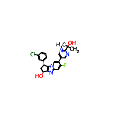 CC(C)(O)c1ncc(-c2cn3c4c(nc3cc2F)[C@H](O)C[C@@H]4c2cccc(Cl)c2)cn1